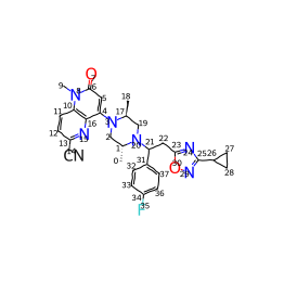 C[C@@H]1CN(c2cc(=O)n(C)c3ccc(C#N)nc23)[C@@H](C)CN1C(Cc1nc(C2CC2)no1)c1ccc(F)cc1